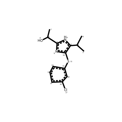 CC(C)c1[nH]c(C(C)O)nc1Sc1cccc(Cl)c1